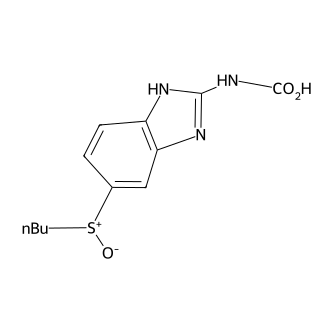 CCCC[S+]([O-])c1ccc2[nH]c(NC(=O)O)nc2c1